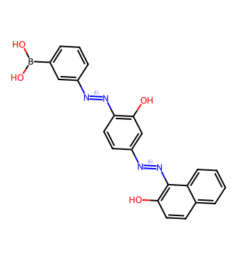 OB(O)c1cccc(/N=N/c2ccc(/N=N/c3c(O)ccc4ccccc34)cc2O)c1